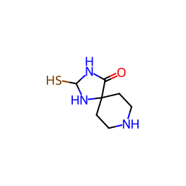 O=C1NC(S)NC12CCNCC2